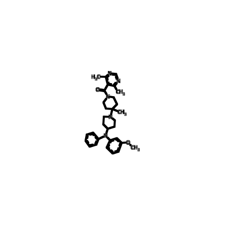 COc1cccc(N(c2ccccc2)C2CCN(C3(C)CCN(C(=O)c4c(C)ncnc4C)CC3)CC2)c1